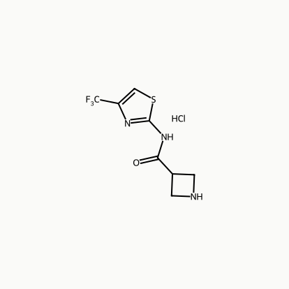 Cl.O=C(Nc1nc(C(F)(F)F)cs1)C1CNC1